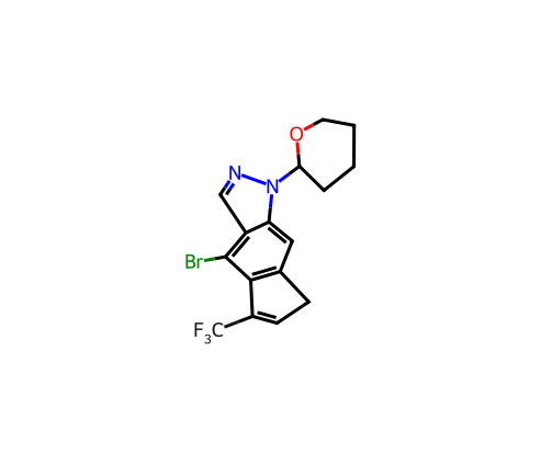 FC(F)(F)C1=CCc2cc3c(cnn3C3CCCCO3)c(Br)c21